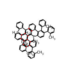 Cc1ccccc1-c1ccc(P(c2ccc(-c3ccccc3C)c(-c3ccccc3C)c2-c2ccccc2C)c2ccc(-c3ccccc3C)c(-c3ccccc3C)c2-c2ccccc2C)c(-c2ccccc2C)c1-c1ccccc1C